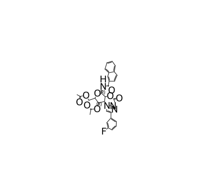 CC(=O)OCC1O[C@@H](NC(=O)c2ccc3ccccc3c2)C(OC(C)=O)C(n2cc(-c3cccc(F)c3)nn2)[C@H]1OC(C)=O